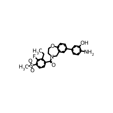 CCc1c(C(=O)N2CCOc3ccc(-c4ccc(N)c(O)c4)cc3C2)ccc(S(C)(=O)=O)c1F